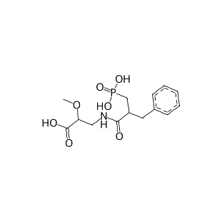 COC(CNC(=O)C(Cc1ccccc1)CP(=O)(O)O)C(=O)O